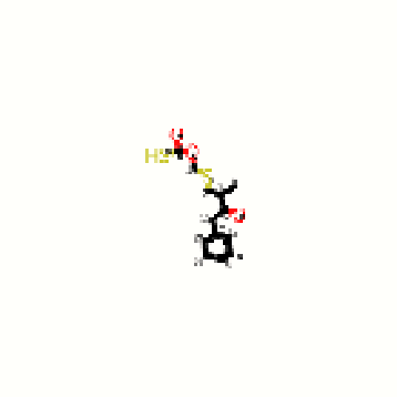 CC(CSCOC(=O)S)C(=O)Cc1ccccc1